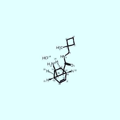 CC1(CNC(=O)[C@@H]2[C@H](N)[C@@H]3C=C[C@H]2CC3)CCC1.Cl